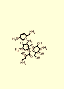 NCC[C@H](O)C(=O)N[C@@H]1C[C@H](N)C(O[C@H]2OC(CN)C=CC2N)C(N)[C@H]1O[C@H]1OC(CO)[C@H](O)[C@H](N)C1O